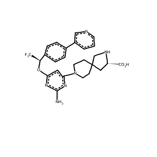 Nc1nc(O[C@H](c2ccc(-c3cccnc3)cc2)C(F)(F)F)cc(N2CCC3(CC2)CN[C@H](C(=O)O)C3)n1